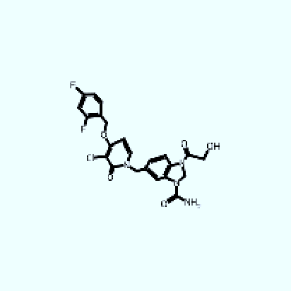 NC(=O)N1CN(C(=O)CO)c2ccc(Cn3ccc(OCc4ccc(F)cc4F)c(Cl)c3=O)cc21